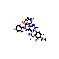 Cc1nc(N[C@@H](C)c2cccc(C#N)c2F)c2c(n1)[C@@]1(CCN(C)C1)C(=O)N(c1ccccc1F)C2